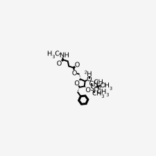 [2H]OC1[C@@H](COC(=O)CCC(=O)NC)O[C@@H](Cc2ccccc2)[C@H]1O[Si](C)(C)C(C)(C)C